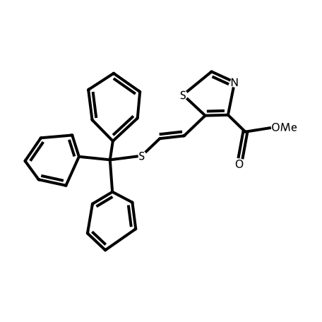 COC(=O)c1ncsc1C=CSC(c1ccccc1)(c1ccccc1)c1ccccc1